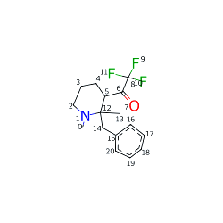 CN1CCCC(C(=O)C(F)(F)F)C1(C)Cc1ccccc1